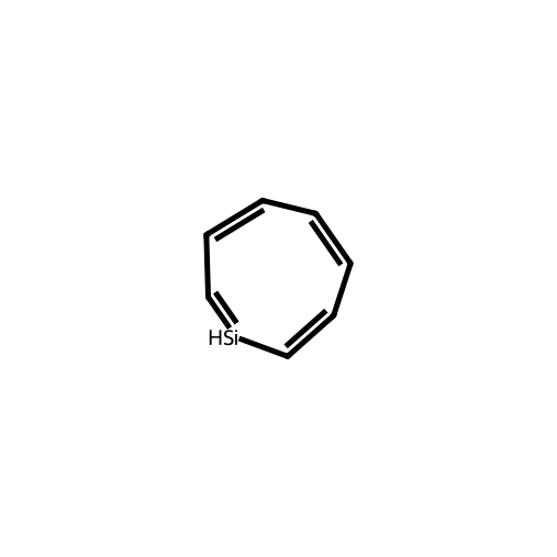 C1=CC=C[SiH]=CC=C1